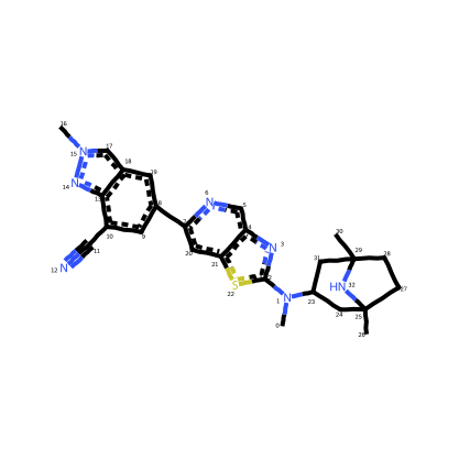 CN(c1nc2cnc(-c3cc(C#N)c4nn(C)cc4c3)cc2s1)C1CC2(C)CCC(C)(C1)N2